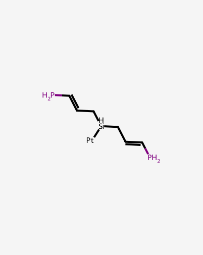 PC=CC[SiH]([Pt])CC=CP